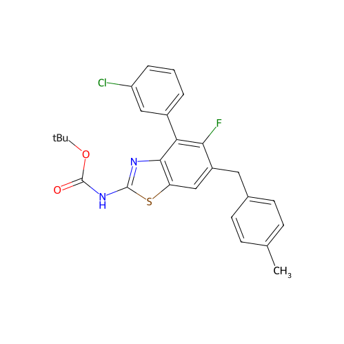 Cc1ccc(Cc2cc3sc(NC(=O)OC(C)(C)C)nc3c(-c3cccc(Cl)c3)c2F)cc1